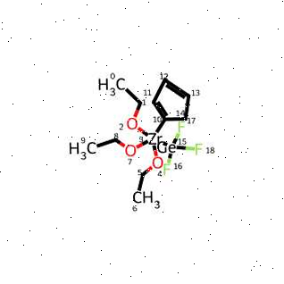 CC[O][Zr]([O]CC)([O]CC)([C]1=CC=CC1)[Ge]([F])([F])[F]